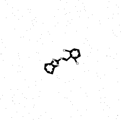 Clc1cccc(Cl)c1C=Nc1nc2ccccc2s1